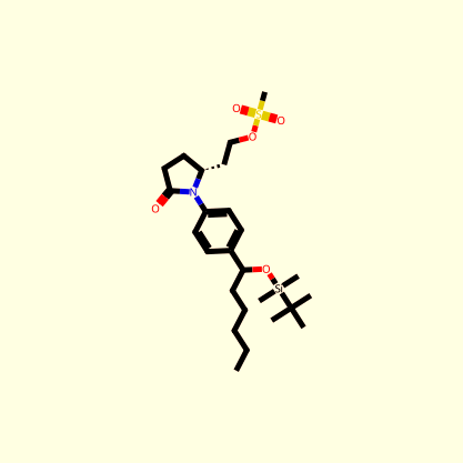 CCCCCC(O[Si](C)(C)C(C)(C)C)c1ccc(N2C(=O)CC[C@@H]2CCOS(C)(=O)=O)cc1